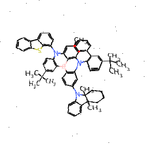 Cc1cc2c3c(c1)N(c1cccc4c1sc1ccccc14)c1ccc(C(C)(C)C)cc1B3c1ccc(N3c4ccccc4C4(C)CCCCC34C)cc1N2c1ccc(C(C)(C)C)cc1-c1ccccc1